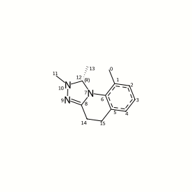 Cc1cccc2c1N1C(=NN(C)[C@@H]1C)CC2